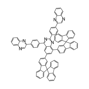 c1ccc2c(c1)-c1ccccc1C21c2ccccc2-c2ccc(-c3cc(-c4ccc5c(c4)C4(c6ccccc6-c6ccccc64)c4ccccc4-5)c4nc(-c5ccc(-c6cnc7ccccc7n6)cc5)nc(-c5ccc(-c6cnc7ccccc7n6)cc5)c4c3)cc21